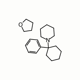 C1CCOC1.c1ccc(C2(N3CCCCC3)CCCCC2)cc1